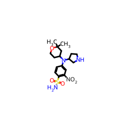 CC1(C)CC(N(c2ccc(S(N)(=O)=O)c([N+](=O)[O-])c2)C2CCNC2)CCO1